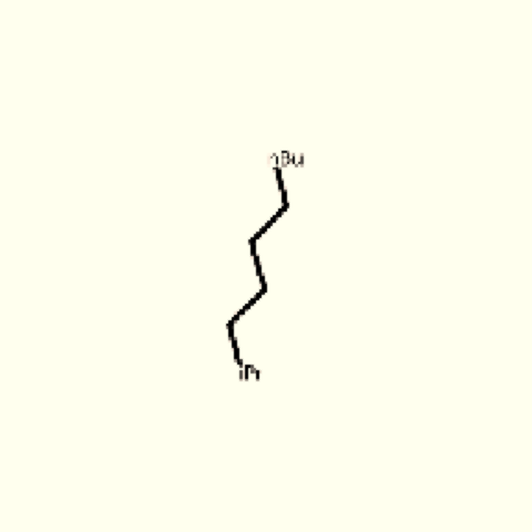 [CH2]CCCCC[CH]CC(C)C